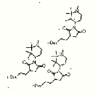 CCCCCCCCCCCCC1CC(=O)N(C2CCN(C)C(C)(C)C2(C)C)C1=O.CCCCCCCCCCCCC1CC(=O)N(C2CCN(C)C(C)(C)C2(C)C)C1=O.CCCCCCCCCCCCC1CC(=O)N(C2CCN(C)C(C)(C)C2C)C1=O